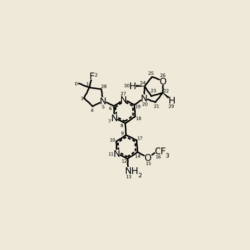 CC1(F)CCN(c2nc(-c3cnc(N)c(OC(F)(F)F)c3)cc(N3C[C@@H]4C[C@H]3CO4)n2)C1